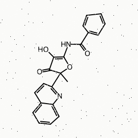 CC1(c2ccc3ccccc3n2)OC(NC(=O)c2ccccc2)=C(O)C1=O